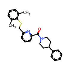 Cc1cccc(C)c1SCc1cccc(C(=O)N2CCC(c3ccccc3)CC2)n1